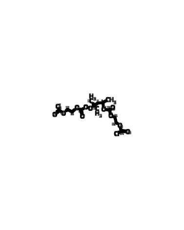 CC(CC(C)(C)OOC(=O)OCCOC(=O)Cl)OC(=O)OCCOC(=O)Cl